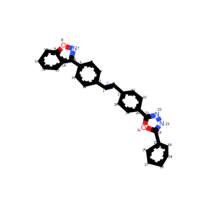 C(=C\c1ccc(-c2noc3ccccc23)cc1)/c1ccc(-c2nnc(-c3ccccc3)o2)cc1